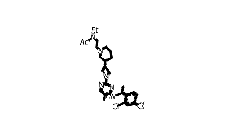 CCN(CCN1CCCC(C2CN(c3ncc(C)c(NC(C)c4ccc(Cl)cc4Cl)n3)C2)C1)C(C)=O